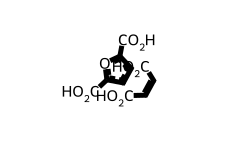 O=C(O)/C=C\C(=O)O.O=C(O)c1ccc(C(=O)O)o1